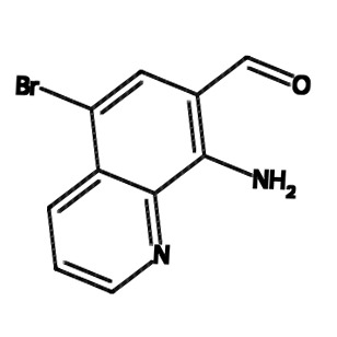 Nc1c(C=O)cc(Br)c2cccnc12